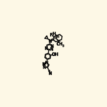 C[C@]12CCC[C@H](C1)[C@H](F)[C@H](N(c1cnc(-c3ccc(-n4cc(C#N)nn4)cc3O)nn1)C1CC1)C2